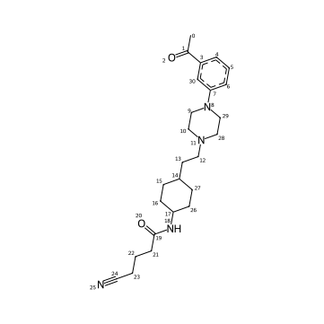 CC(=O)c1cccc(N2CCN(CCC3CCC(NC(=O)CCCC#N)CC3)CC2)c1